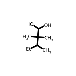 CCC(C)C(C)(C)C(O)O